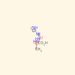 C=CCCOC(=O)NC(CNC(=O)c1cnn(CCc2ccc3c(n2)NCCC3)c1)C(=O)O